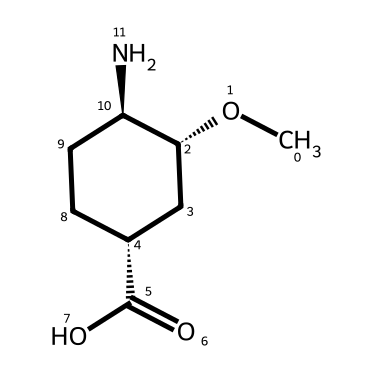 CO[C@@H]1C[C@H](C(=O)O)CC[C@H]1N